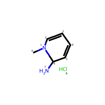 CN1C=CC=CC1N.Cl